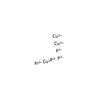 [Cu+2].[Cu+2].[Cu+2].[In+3].[P-3].[P-3].[P-3]